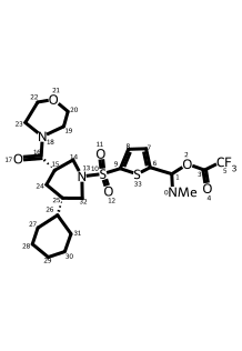 CNC(OC(=O)C(F)(F)F)c1ccc(S(=O)(=O)N2C[C@@H](C(=O)N3CCOCC3)C[C@@H](C3CCCCC3)C2)s1